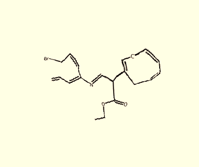 C=C/C=C(\C=C/CBr)/N=C/C(C(=O)OCC)/C1=C/C/C=C\C=C/C1